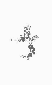 CC(C)(C)OC(=O)Nc1nc(/C(=N/O[C@@H](COc2ccc3nc(NC4CB(C(=O)OC(C)(C)C)C4)ccc3c2)C(=O)OC(C)(C)C)C(=O)NC2C(=O)N(OS(=O)(=O)O)C2(C)C)cs1